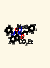 CCOC(=O)CCC1(NC(=O)CCc2ccccc2OC)C(=O)N(c2ccccc2)c2ccccc21